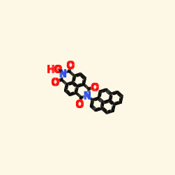 O=C1c2ccc3c4c(ccc(c24)C(=O)N1O)C(=O)N(c1ccc2ccc4cccc5ccc1c2c45)C3=O